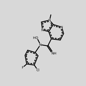 Cn1cnc2c(C(=N)N(O)c3ccc(F)c(Cl)c3)ccnc21